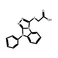 O=C(O)CSc1nnc2n(-c3ccccc3)c3ccccc3n12